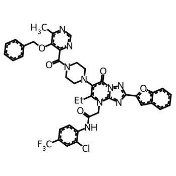 CCc1c(N2CCN(C(=O)c3ncnc(C)c3OCc3ccccc3)CC2)c(=O)n2nc(-c3cc4ccccc4o3)nc2n1CC(=O)Nc1ccc(C(F)(F)F)cc1Cl